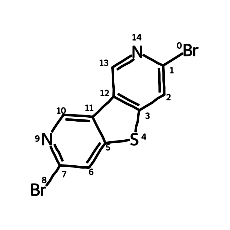 Brc1cc2sc3cc(Br)ncc3c2cn1